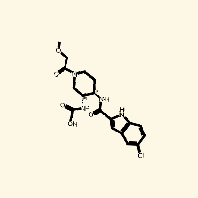 COCC(=O)N1CC[C@@H](NC(=O)c2cc3cc(Cl)ccc3[nH]2)[C@H](NC(=O)O)C1